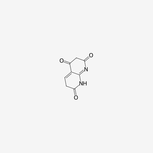 O=C1CC(=O)C2=CCC(=O)NC2=N1